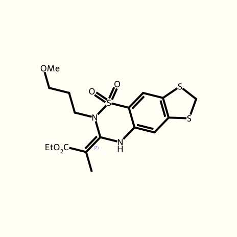 CCOC(=O)/C(C)=C1/Nc2cc3c(cc2S(=O)(=O)N1CCCOC)SCS3